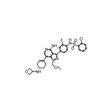 CCn1nc(-c2ccc(NS(=O)(=O)c3ccccc3Cl)c(F)c2)c2c(N)ncc(C3=CC[C@@H](NC4COC4)CC3)c21